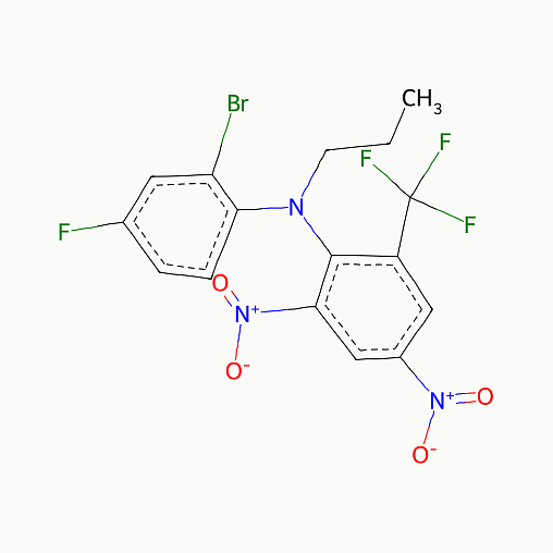 CCCN(c1ccc(F)cc1Br)c1c([N+](=O)[O-])cc([N+](=O)[O-])cc1C(F)(F)F